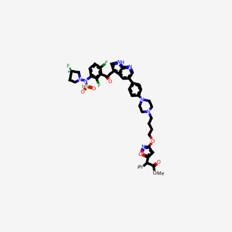 COC(=O)C(c1cc(OCCCCN2CCN(c3ccc(-c4cnc5[nH]cc(C(=O)c6c(F)ccc(N(N7CC[C@@H](F)C7)[SH](=O)=O)c6F)c5c4)cc3)CC2)no1)C(C)C